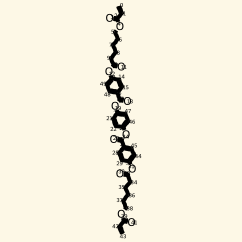 C=CC(=O)OCCCCCC(=O)Oc1ccc(C(=O)Oc2ccc(OC(=O)c3ccc(OC(=O)CCCCCOC(=O)C=C)cc3)cc2)cc1